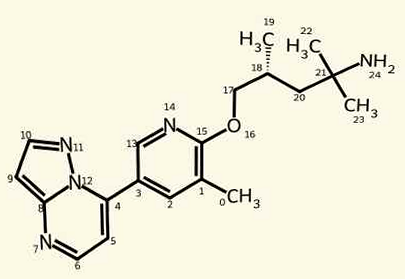 Cc1cc(-c2ccnc3ccnn23)cnc1OC[C@H](C)CC(C)(C)N